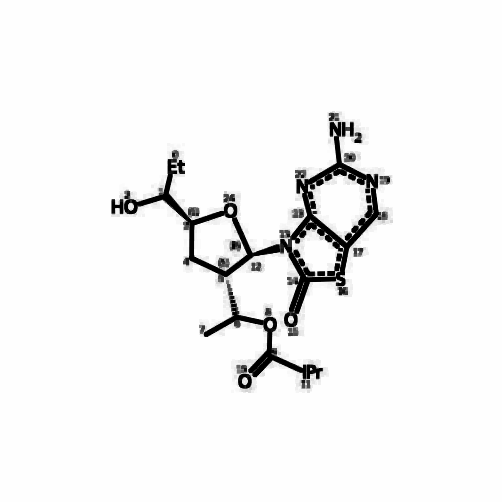 CCC(O)[C@@H]1C[C@@H](C(C)OC(=O)C(C)C)[C@H](n2c(=O)sc3cnc(N)nc32)O1